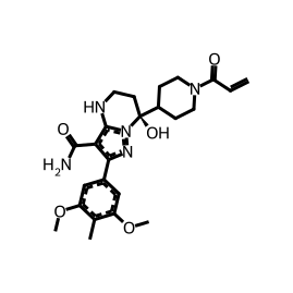 C=CC(=O)N1CCC([C@@]2(O)CCNc3c(C(N)=O)c(-c4cc(OC)c(C)c(OC)c4)nn32)CC1